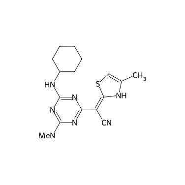 CNc1nc(NC2CCCCC2)nc(/C(C#N)=C2/NC(C)=CS2)n1